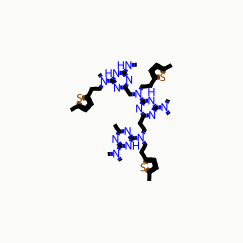 CNC1=NC(CN(CCc2ccc(C)s2)C2=NC(CCN(CCc3ccc(C)s3)C3=NC(C)N=C(N(C)C)N3)N=C(N(C)C)N2)N=C(N(C)CCc2ccc(C)s2)N1